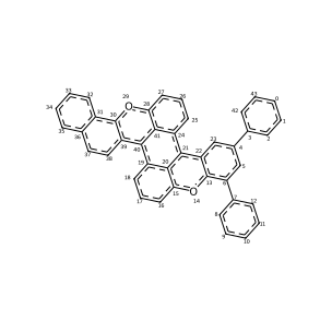 c1ccc(-c2cc(-c3ccccc3)c3oc4cccc5c4c(c3c2)c2cccc3oc4c6ccccc6ccc4c5c32)cc1